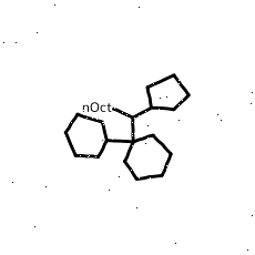 CCCCCCCCC(C1CCCC1)C1([C]2CCCCC2)CCCCC1